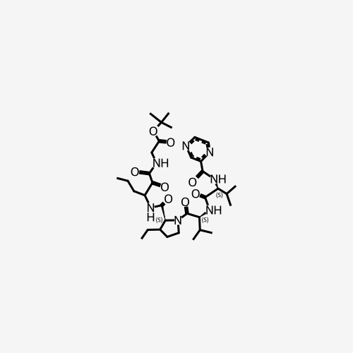 CCCC(NC(=O)[C@@H]1C(CC)CCN1C(=O)[C@@H](NC(=O)[C@@H](NC(=O)c1cnccn1)C(C)C)C(C)C)C(=O)C(=O)NCC(=O)OC(C)(C)C